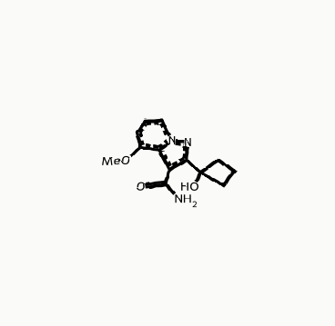 COc1cccn2nc(C3(O)CCC3)c(C(N)=O)c12